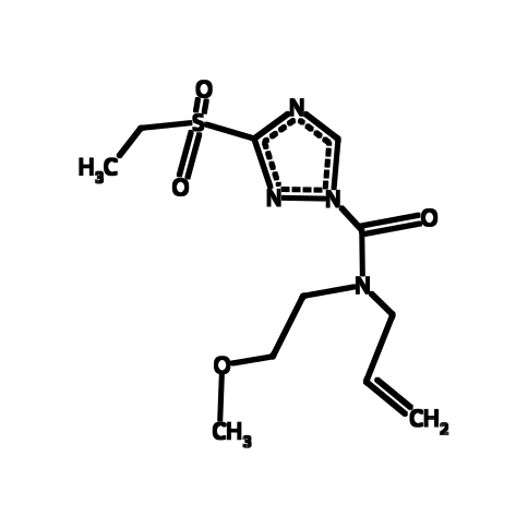 C=CCN(CCOC)C(=O)n1cnc(S(=O)(=O)CC)n1